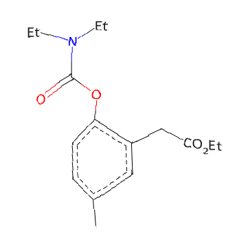 CCOC(=O)Cc1cc(C)ccc1OC(=O)N(CC)CC